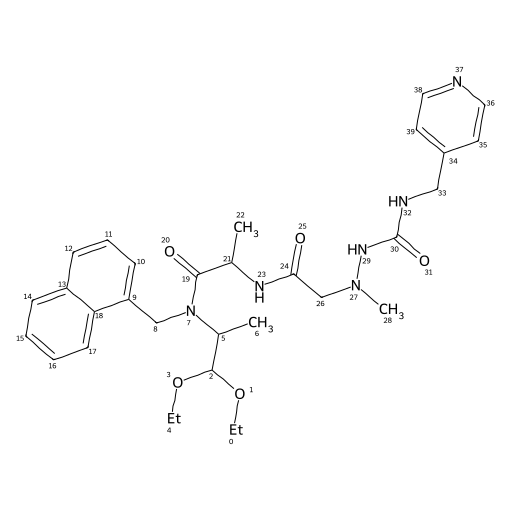 CCOC(OCC)C(C)N(Cc1cccc2ccccc12)C(=O)C(C)NC(=O)CN(C)NC(=O)NCc1ccncc1